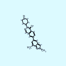 Cc1cc(-c2ccc3c(=O)n(C4CCNCC4)ncc3c2)cc2cn(C)nc12